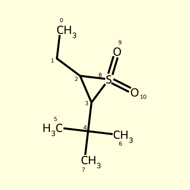 CCC1C(C(C)(C)C)S1(=O)=O